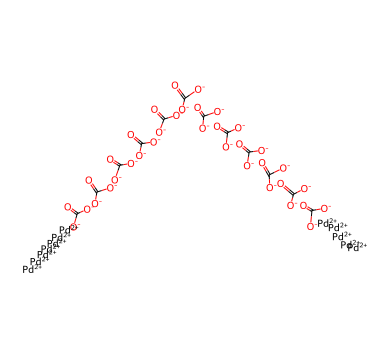 O=C([O-])[O-].O=C([O-])[O-].O=C([O-])[O-].O=C([O-])[O-].O=C([O-])[O-].O=C([O-])[O-].O=C([O-])[O-].O=C([O-])[O-].O=C([O-])[O-].O=C([O-])[O-].O=C([O-])[O-].O=C([O-])[O-].[Pd+2].[Pd+2].[Pd+2].[Pd+2].[Pd+2].[Pd+2].[Pd+2].[Pd+2].[Pd+2].[Pd+2].[Pd+2].[Pd+2]